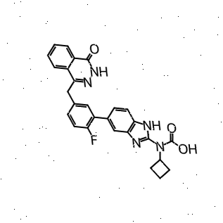 O=C(O)N(c1nc2cc(-c3cc(Cc4n[nH]c(=O)c5ccccc45)ccc3F)ccc2[nH]1)C1CCC1